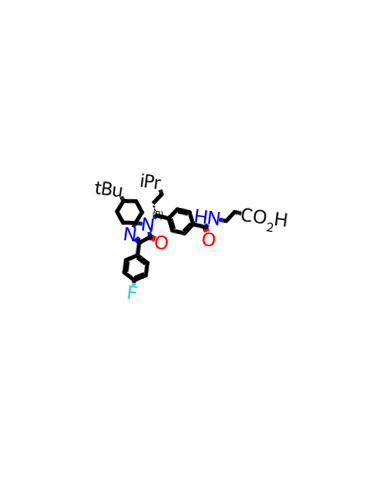 CC(C)CC[C@H](c1ccc(C(=O)NCCC(=O)O)cc1)N1C(=O)C(c2ccc(F)cc2)=NC12CCC(C(C)(C)C)CC2